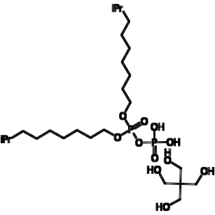 CC(C)CCCCCCCOP(=O)(OCCCCCCCC(C)C)OP(=O)(O)O.OCC(CO)(CO)CO